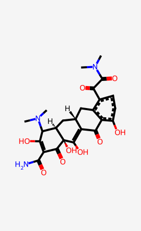 CN(C)C(=O)C(=O)c1ccc(O)c2c1C[C@H]1C[C@@H]3C(N(C)C)C(O)=C(C(N)=O)C(=O)[C@@]3(O)C(O)=C1C2=O